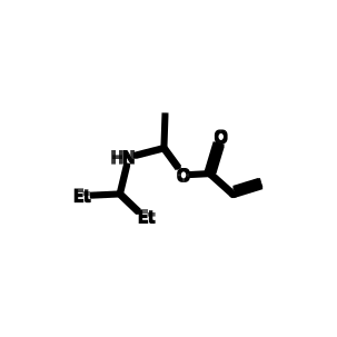 C=CC(=O)OC(C)NC(CC)CC